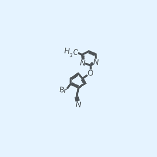 Cc1ccnc(Oc2ccc(Br)c(C#N)c2)n1